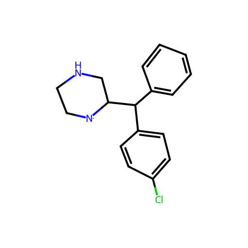 Clc1ccc(C(c2ccccc2)C2CNCC[N]2)cc1